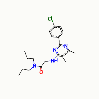 CCCN(CCC)C(=O)CNc1nc(-c2ccc(Cl)cc2)nc(C)c1C